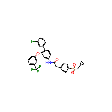 O=C(Cc1ccc(S(=O)(=O)CC2CC2)cc1)Nc1ccc(-c2cccc(F)c2)c(Oc2cccc(C(F)(F)F)c2)c1